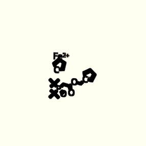 CC(C)(C)P(=O)(CC(=O)OC[c-]1cccc1)C(C)(C)C.[Fe+2].c1cc[cH-]c1